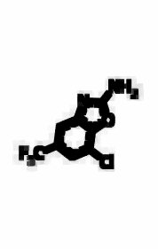 Nc1nc2cc(C(F)(F)F)cc(Cl)c2o1